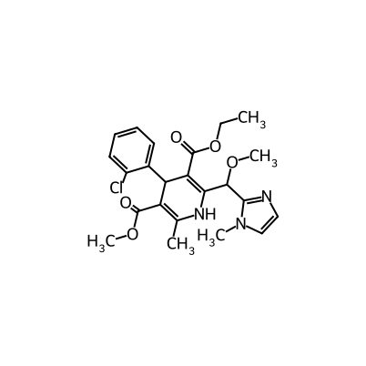 CCOC(=O)C1=C(C(OC)c2nccn2C)NC(C)=C(C(=O)OC)C1c1ccccc1Cl